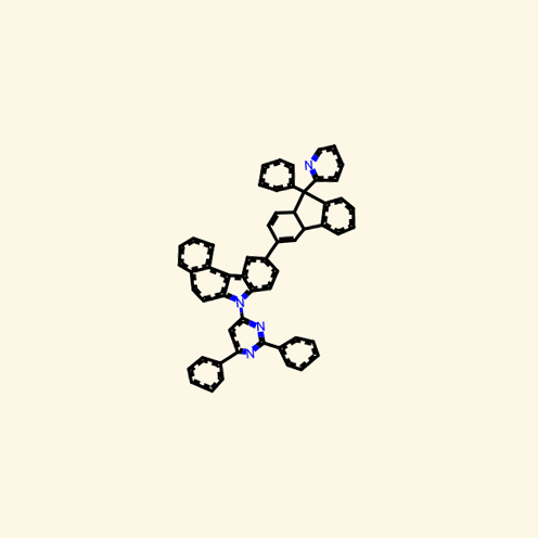 C1=CC2C(C=C1c1ccc3c(c1)c1c4ccccc4ccc1n3-c1cc(-c3ccccc3)nc(-c3ccccc3)n1)c1ccccc1C2(c1ccccc1)c1ccccn1